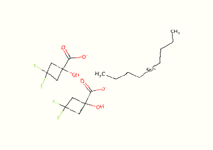 CCC[CH2][Sn+2][CH2]CCC.O=C([O-])C1(O)CC(F)(F)C1.O=C([O-])C1(O)CC(F)(F)C1